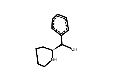 OC(c1ccccc1)[C@@H]1CCCCN1